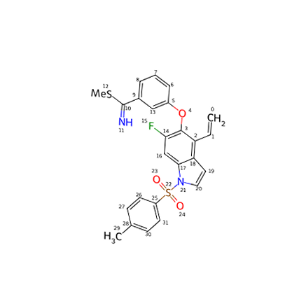 C=Cc1c(Oc2cccc(C(=N)SC)c2)c(F)cc2c1ccn2S(=O)(=O)c1ccc(C)cc1